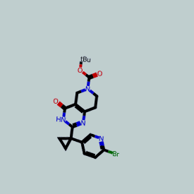 CC(C)(C)OC(=O)N1CCc2nc(C3(c4ccc(Br)nc4)CC3)[nH]c(=O)c2C1